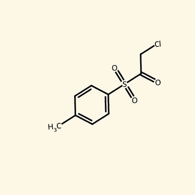 Cc1ccc(S(=O)(=O)C(=O)CCl)cc1